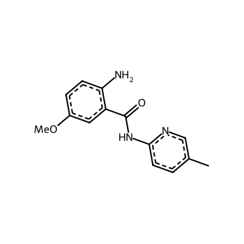 COc1ccc(N)c(C(=O)Nc2ccc(C)cn2)c1